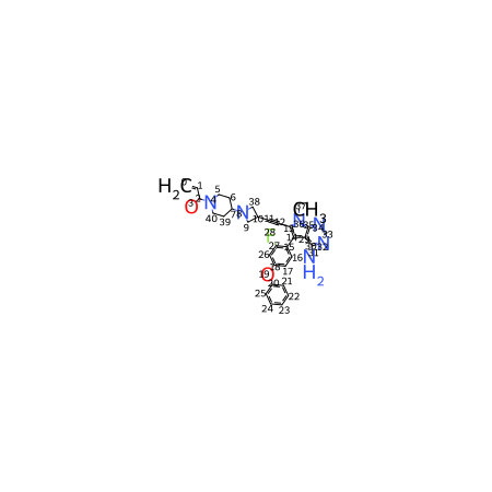 C=CC(=O)N1CCC(N2CC(C#Cc3c(-c4ccc(Oc5ccccc5)cc4F)c4c(N)ncnc4n3C)C2)CC1